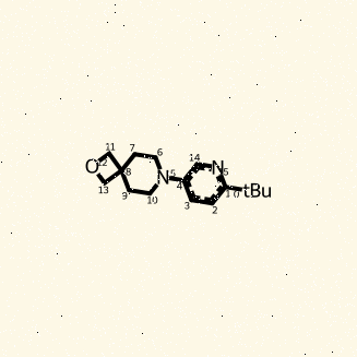 CC(C)(C)c1ccc(N2CCC3(CC2)COC3)cn1